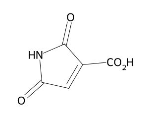 O=C1C=C(C(=O)O)C(=O)N1